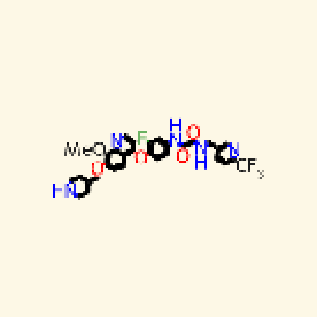 COc1c(OCC2CCNCC2)ccc2c(Oc3ccc(NC(=O)C(=O)NCc4ccc(C(F)(F)F)nc4)cc3F)ccnc12